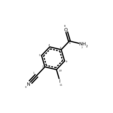 N#Cc1ccc(C(N)=O)cc1I